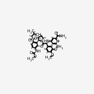 COC(=O)Nc1ccc(S(=O)(=O)CC(C)C)c([C@H]2CCCN2C(=O)[C@H](Nc2ccnc(C(N)=O)c2)c2ccc(OC)c(OC)c2)c1